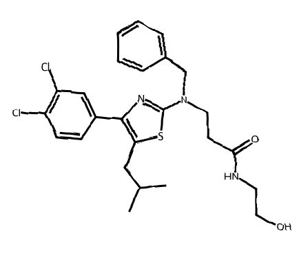 CC(C)Cc1sc(N(CCC(=O)NCCO)Cc2ccccc2)nc1-c1ccc(Cl)c(Cl)c1